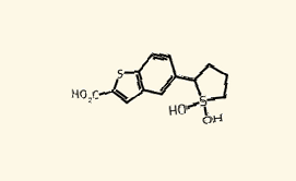 O=C(O)c1cc2cc(C3CCCS3(O)O)ccc2s1